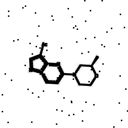 CC(=O)c1cnn2ccc(N3CCO[C@H](C)C3)nc12